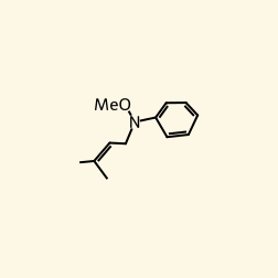 CON(CC=C(C)C)c1ccccc1